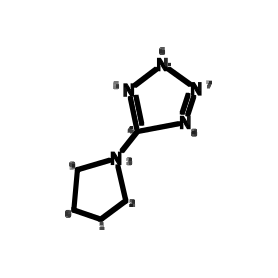 C1CCN(C2=N[N]N=N2)C1